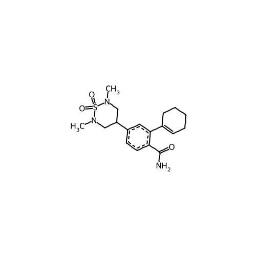 CN1CC(c2ccc(C(N)=O)c(C3=CCCCC3)c2)CN(C)S1(=O)=O